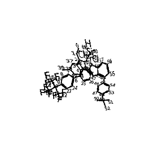 CCC1=Cc2c(-c3ccc(C(C(F)(F)F)(C(F)(F)F)C(F)(F)F)cc3)cccc2[CH]1[Zr]([Cl])([Cl])([CH]1C(C2CCC(C)CC2)=Cc2c(-c3ccc(C(C)(C)C)cc3)cccc21)[SiH](C)C